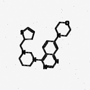 C1=CSC(CN2CCCN(c3ncnc4cc(N5CCOCC5)ccc34)C2)C1